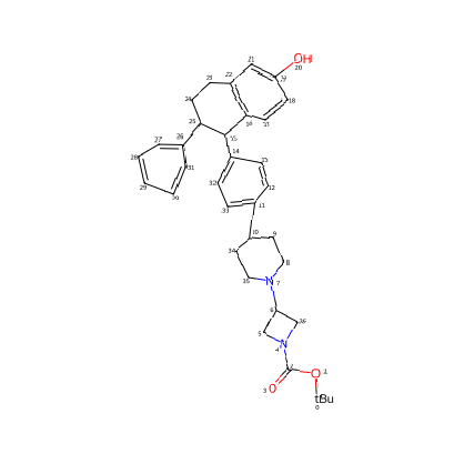 CC(C)(C)OC(=O)N1CC(N2CCC(c3ccc(C4c5ccc(O)cc5CCC4c4ccccc4)cc3)CC2)C1